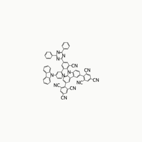 N#Cc1cc(C#N)c(-c2ccc3c(c2)c2cc(-c4c(C#N)cc(C#N)cc4C#N)ccc2n3-c2c(C#N)cc(-c3nc(-c4ccccc4)nc(-c4ccccc4)n3)cc2-c2cc(-n3c4ccccc4c4ccccc43)ccn2)c(C#N)c1